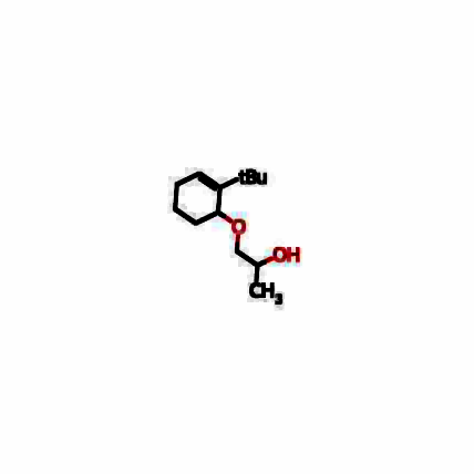 CC(O)COC1CCCC=C1C(C)(C)C